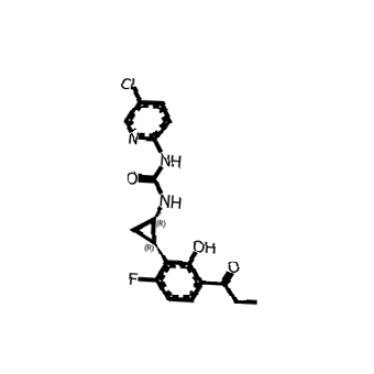 CCC(=O)c1ccc(F)c([C@H]2C[C@H]2NC(=O)Nc2ccc(Cl)cn2)c1O